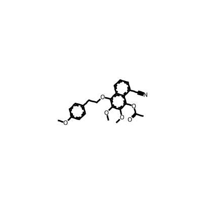 COc1ccc(CCOc2c(OC)c(OC)c(OC(C)=O)c3c(C#N)cccc23)cc1